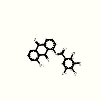 Nc1cccc2c1C(=O)c1c(NC(=O)c3cc(Cl)c(Cl)c(Cl)c3Cl)cccc1C2=O